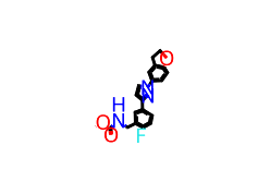 COC(=O)NCc1cc(-c2ccn(-c3ccc4c(c3)CCO4)n2)ccc1F